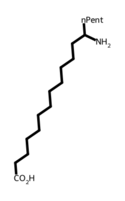 CCCCCC(N)CCCCCCCCCCCC(=O)O